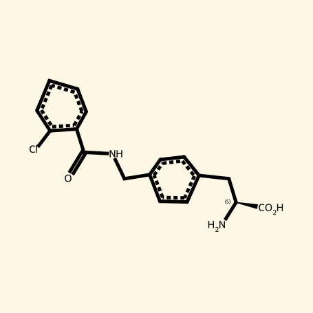 N[C@@H](Cc1ccc(CNC(=O)c2ccccc2Cl)cc1)C(=O)O